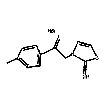 Br.Cc1ccc(C(=O)Cn2ccsc2=N)cc1